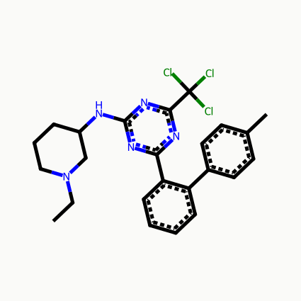 CCN1CCCC(Nc2nc(-c3ccccc3-c3ccc(C)cc3)nc(C(Cl)(Cl)Cl)n2)C1